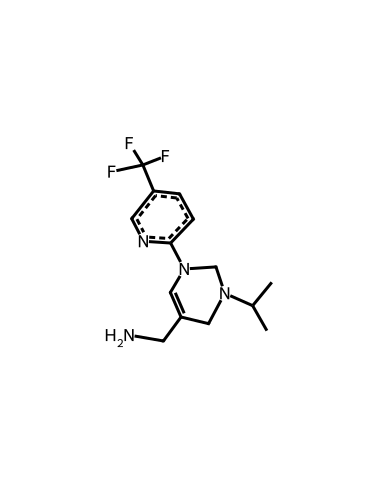 CC(C)N1CC(CN)=CN(c2ccc(C(F)(F)F)cn2)C1